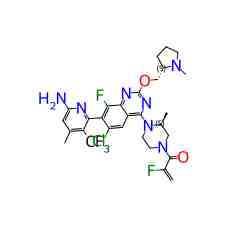 C=C(F)C(=O)N1CCN(c2nc(OC[C@@H]3CCCN3C)nc3c(F)c(-c4nc(N)cc(C)c4C(F)(F)F)c(Cl)cc23)[C@@H](C)C1